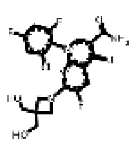 NC(=O)c1cn(-c2c(F)cc(F)cc2Cl)c2nc(N3CC(CO)(CO)C3)c(F)cc2c1=O